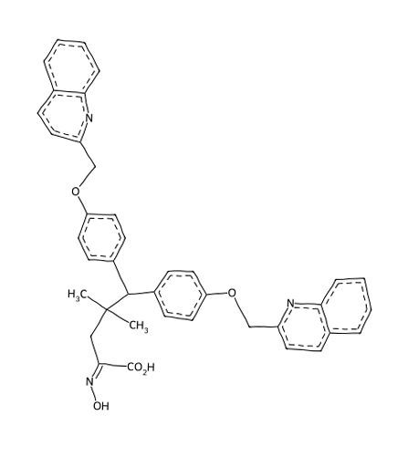 CC(C)(C/C(=N/O)C(=O)O)C(c1ccc(OCc2ccc3ccccc3n2)cc1)c1ccc(OCc2ccc3ccccc3n2)cc1